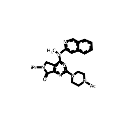 CC(=O)N1CCN(c2nc3c(c(N(C)c4cc5ccccc5cn4)n2)CN(C(C)C)C3=O)CC1